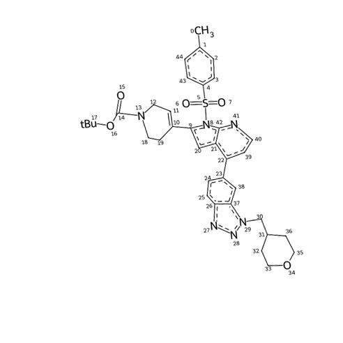 Cc1ccc(S(=O)(=O)n2c(C3=CCN(C(=O)OC(C)(C)C)CC3)cc3c(-c4ccc5nnn(CC6CCOCC6)c5c4)ccnc32)cc1